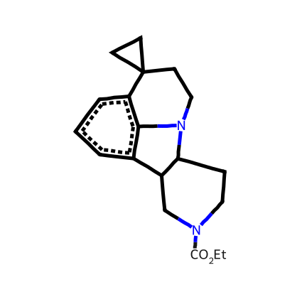 CCOC(=O)N1CCC2C(C1)c1cccc3c1N2CCC31CC1